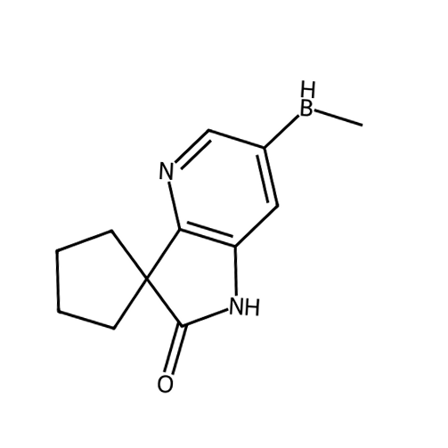 CBc1cnc2c(c1)NC(=O)C21CCCC1